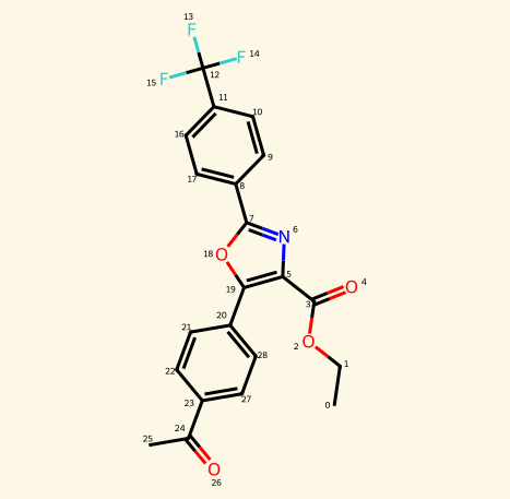 CCOC(=O)c1nc(-c2ccc(C(F)(F)F)cc2)oc1-c1ccc(C(C)=O)cc1